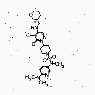 CN(C)c1ccc(N(C)S(=O)(=O)N2CCC(n3ncc(NC[C@@H]4CCCOC4)c(Cl)c3=O)CC2)cn1